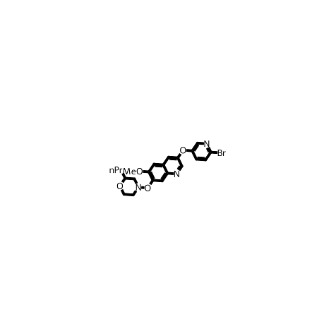 CCCC1CN(Oc2cc3ncc(Oc4ccc(Br)nc4)cc3cc2OC)CCO1